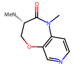 CN[C@H]1COc2cnccc2N(C)C1=O